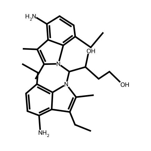 CCc1c(C)n(C(C(O)CCO)n2c(C)c(C)c3c(N)ccc(CC)c32)c2c(CC)ccc(N)c12